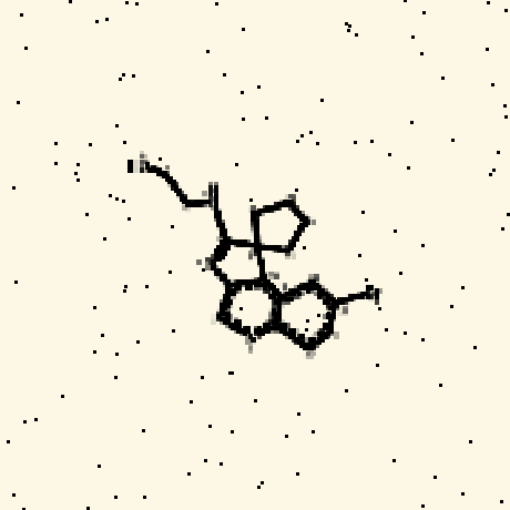 OCCNC1=Nc2cnc3ccc(Br)cc3c2C12CCCC2